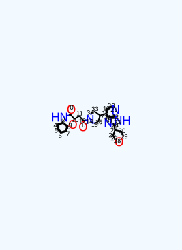 O=C1Nc2ccccc2OC1CC(=O)N1CCC(c2ccnc3[nH]c(C4CCOCC4)nc23)CC1